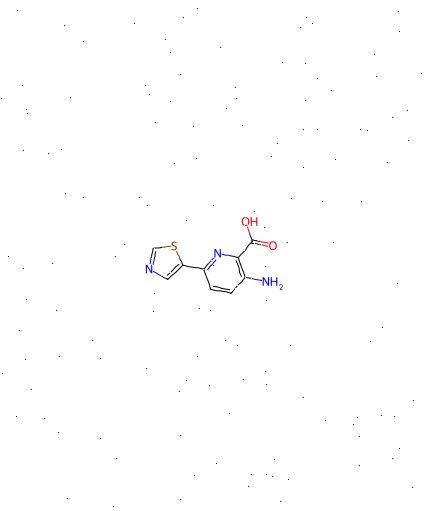 Nc1ccc(-c2cncs2)nc1C(=O)O